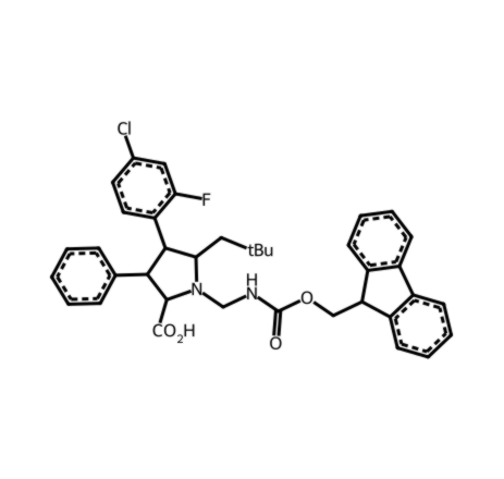 CC(C)(C)CC1C(c2ccc(Cl)cc2F)C(c2ccccc2)C(C(=O)O)N1CNC(=O)OCC1c2ccccc2-c2ccccc21